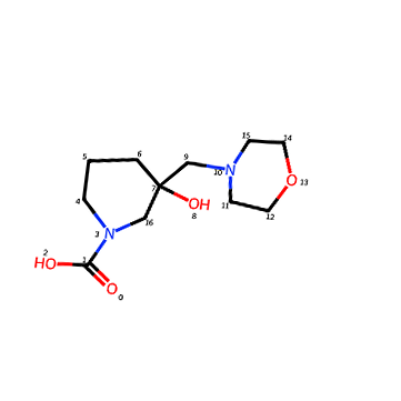 O=C(O)N1CCCC(O)(CN2CCOCC2)C1